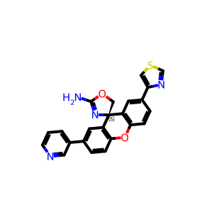 NC1=N[C@@]2(CO1)c1cc(-c3cccnc3)ccc1Oc1ccc(-c3cscn3)cc12